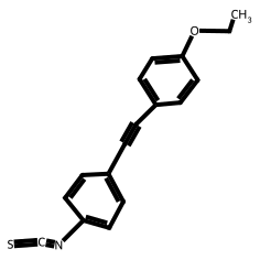 CCOc1ccc(C#Cc2ccc(N=C=S)cc2)cc1